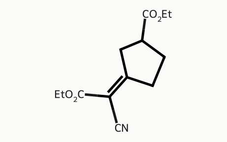 CCOC(=O)/C(C#N)=C1/CCC(C(=O)OCC)C1